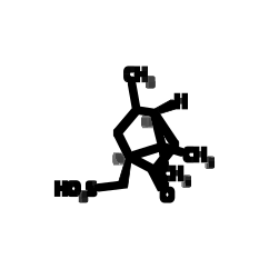 CC1C[C@@]2(CS(=O)(=O)O)C(=O)C[C@@H]1C2(C)C